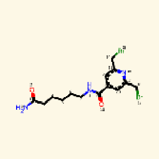 NC(=O)CCCCCNC(=O)c1cc(CBr)nc(CBr)c1